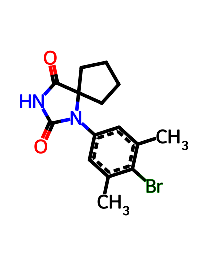 Cc1cc(N2C(=O)NC(=O)C23CCCC3)cc(C)c1Br